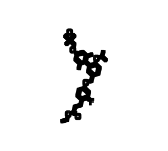 CCOC(=O)CCc1ccc(OCc2ccc(OC(C)C)c(-c3c(C)cc(OCC4(C)COC4)cc3C)c2)cc1F